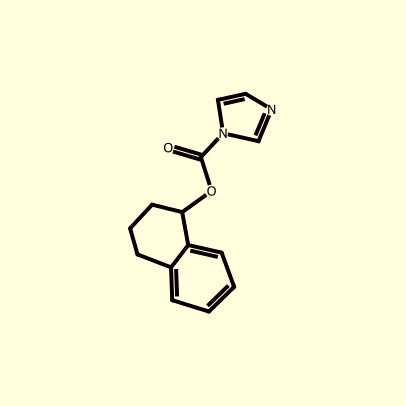 O=C(OC1CCCc2ccccc21)n1ccnc1